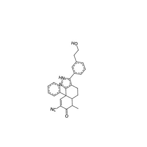 CC1C(=O)C(C#N)=CC2(c3ccccc3)c3n[nH]c(-c4cccc(CCO)c4)c3CCC12